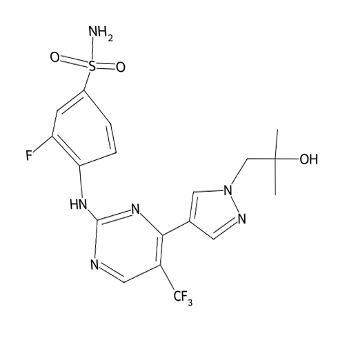 CC(C)(O)Cn1cc(-c2nc(Nc3ccc(S(N)(=O)=O)cc3F)ncc2C(F)(F)F)cn1